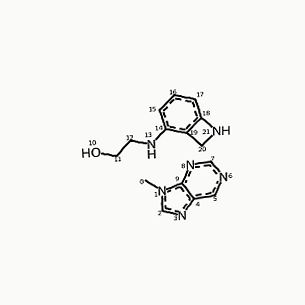 Cn1cnc2cncnc21.OCCNc1cccc2c1CN2